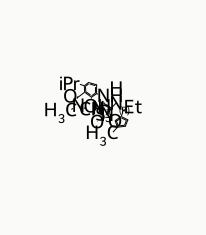 CC[C@@H](Nc1n[s+]([O-])nc1Nc1ccc(C(C)C)c(C(=O)N(C)C)c1O)c1ccc(C)o1